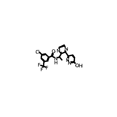 CC(NC(=O)c1cc(Cl)cc(C(F)(F)F)c1)c1nccnc1-c1ccc(O)nn1